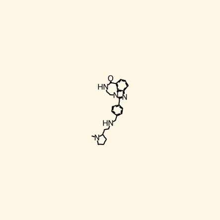 CN1CCCC1CCNCc1ccc(-c2nc3cccc4c3n2CCNC4=O)cc1